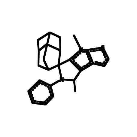 CC1c2c(n(C)c3sccc23)C2(C3CC4CC(C3)CC2C4)N1c1ccccc1